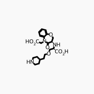 O=C(O)CN1C(=O)[C@@H](N[C@@H](COCCC2CCNCC2)C(=O)O)COc2ccccc21